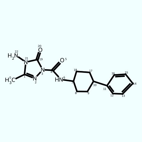 Cc1nn(C(=O)NC2CCC(c3ccccc3)CC2)c(=O)n1N